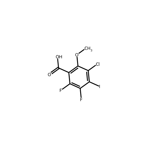 COc1c(Cl)c(I)c(F)c(F)c1C(=O)O